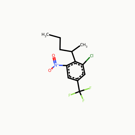 CCCC(C)c1c(Cl)cc(C(F)(F)F)cc1[N+](=O)[O-]